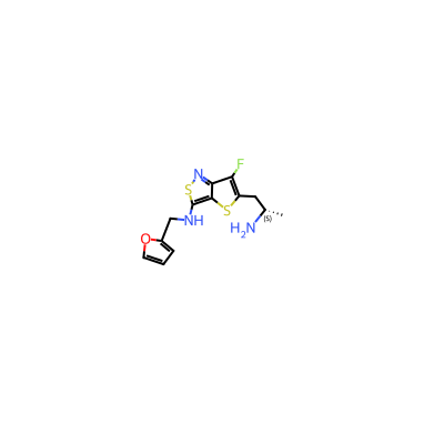 C[C@H](N)Cc1sc2c(NCc3ccco3)snc2c1F